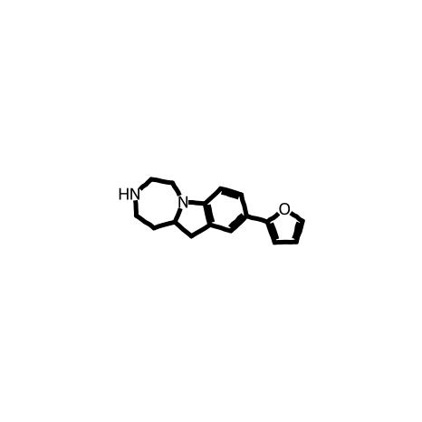 c1coc(-c2ccc3c(c2)CC2CCNCCN32)c1